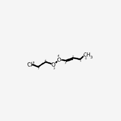 CCC=COOCCCl